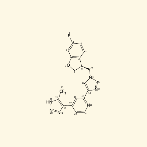 Fc1ccc2c(c1)OC[C@@H]2Cn1cnc(-c2cc(-c3nn[nH]c3C(F)(F)F)ccn2)c1